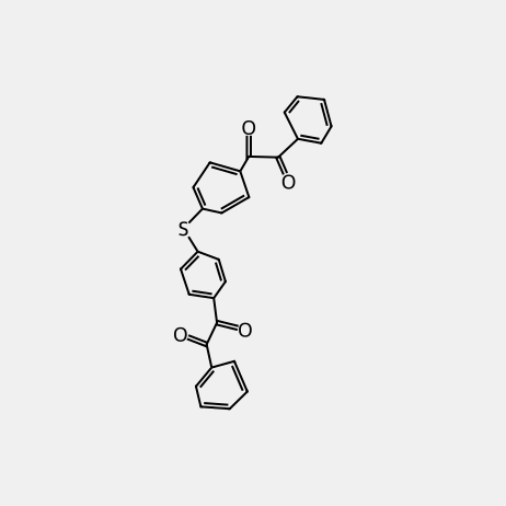 O=C(C(=O)c1ccc(Sc2ccc(C(=O)C(=O)c3ccccc3)cc2)cc1)c1ccccc1